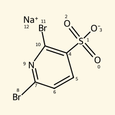 O=S(=O)([O-])c1ccc(Br)nc1Br.[Na+]